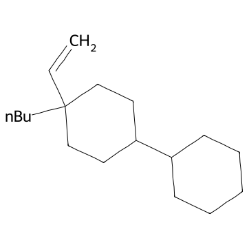 C=CC1(CCCC)CCC(C2CCCCC2)CC1